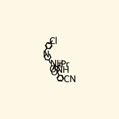 CC(C)C(NC(=O)c1cccc(C#N)c1)C(=O)NCC1CCN(Cc2ccc(Cl)cc2)CC1